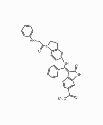 COC(=O)c1ccc2c(c1)NC(=O)/C2=C(\Nc1ccc2c(c1)CCN2C(=O)CNc1ccccc1)c1ccccc1